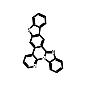 c1ccc2c(c1)nc1c3cc4c(cc3c3cccnc3n21)sc1ccccc14